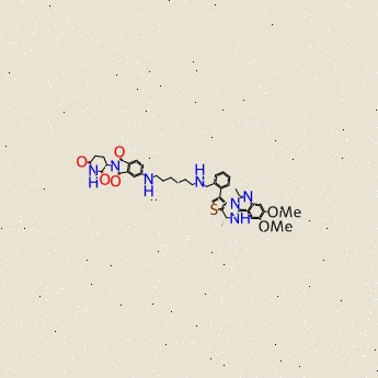 COc1cc2nc(C)nc(N[C@H](C)c3cc(-c4ccccc4CNCCCCCCNc4ccc5c(c4)C(=O)N(C4CCC(=O)NC4=O)C5=O)cs3)c2cc1OC